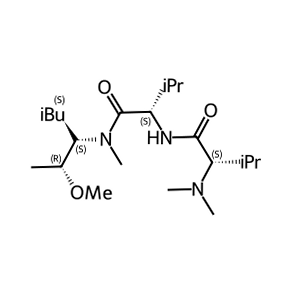 CC[C@H](C)[C@@H]([C@@H](C)OC)N(C)C(=O)[C@@H](NC(=O)[C@H](C(C)C)N(C)C)C(C)C